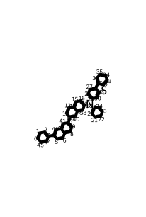 c1ccc(-c2ccc3ccc(-c4ccc5ccc(N(c6ccccc6)c6ccc7c(c6)sc6ccccc67)cc5c4)cc3c2)cc1